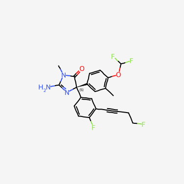 Cc1cc([C@@]2(c3ccc(F)c(C#CCCF)c3)N=C(N)N(C)C2=O)ccc1OC(F)F